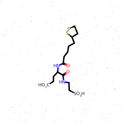 O=C(O)CCC(NC(=O)CCCCC1CCSS1)C(=O)NCCS(=O)(=O)O